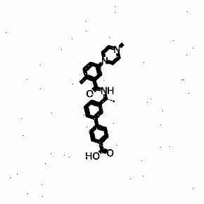 Cc1ccc(N2CCN(C)CC2)cc1C(=O)N[C@H](C)c1cccc(-c2ccc(C(=O)O)cc2)c1